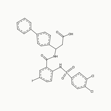 O=C(O)CC(NC(=O)c1cc(I)ccc1NS(=O)(=O)c1ccc(Cl)c(Cl)c1)c1ccc(-c2ccccc2)cc1